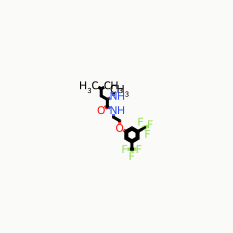 CNC(CC(C)C)C(=O)NCCOc1cc(C(F)(F)F)cc(C(F)(F)F)c1